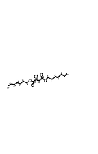 CCCCCCCOC(=O)CC(Cl)C(=O)OCCCCCCC